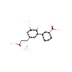 Cl.NC[C@H](CC(=O)O)c1cc(Br)c(Cl)c(-c2cccc(C(=O)O)c2)c1